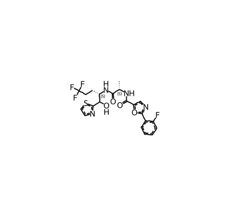 C[C@H](NC(=O)c1cnc(-c2ccccc2F)o1)C(=O)N[C@@H](CCC(F)(F)F)C(O)c1nccs1